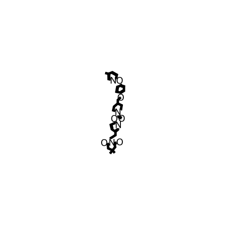 Cc1ccc(Oc2ccc(OCC3CCN(C(=O)Oc4ccc(CCN5C(=O)CC(C)(C)CC5=O)cn4)CC3)cc2)nc1